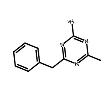 [3H]c1nc(C)nc(Cc2ccccc2)n1